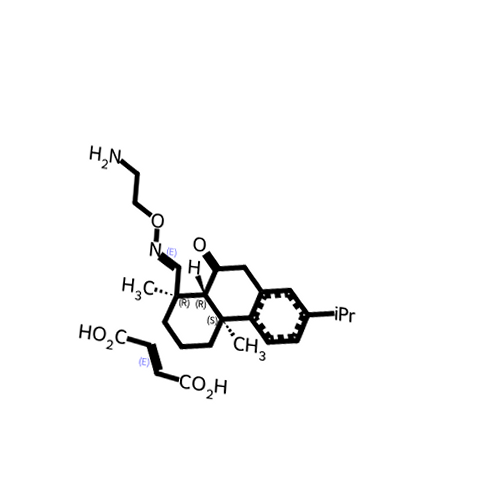 CC(C)c1ccc2c(c1)CC(=O)[C@H]1[C@](C)(/C=N/OCCN)CCC[C@]21C.O=C(O)/C=C/C(=O)O